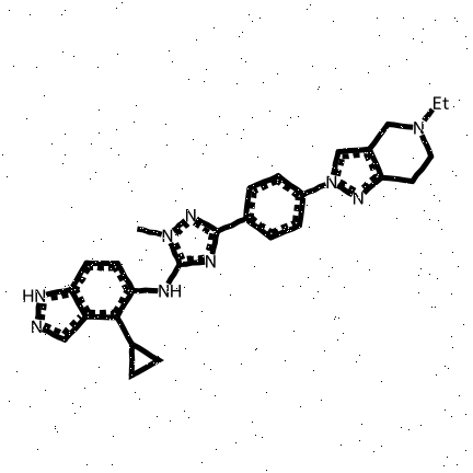 CCN1CCc2nn(-c3ccc(-c4nc(Nc5ccc6[nH]ncc6c5C5CC5)n(C)n4)cc3)cc2C1